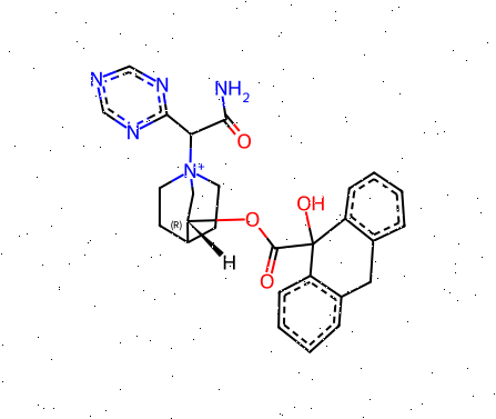 NC(=O)C(c1ncncn1)[N+]12CCC(CC1)[C@@H](OC(=O)C1(O)c3ccccc3Cc3ccccc31)C2